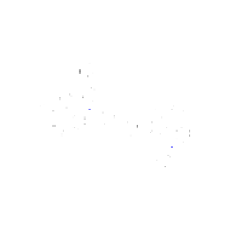 c1ccc(-c2ccc(N(c3ccc(-c4ccc(-c5cc6c7c(c5)c5ccccc5n7-c5ccccc5C6(c5ccccc5)c5ccccc5)cc4)cc3)c3ccc4c(c3)C(c3ccccc3)(c3ccccc3)c3ccccc3-4)cc2)cc1